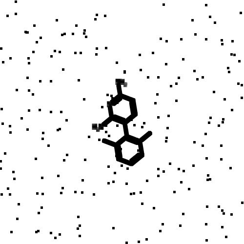 Cc1cccc(C)c1-c1ccc(N)nc1N